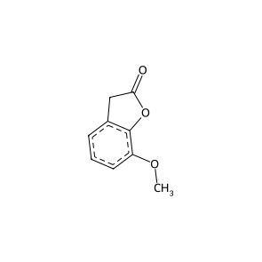 COc1cccc2c1OC(=O)C2